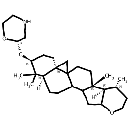 C[C@@H]1CCOC2CC3C4CC[C@H]5C(C)(C)[C@@H](O[C@H]6CNCCO6)CC[C@@]56CC46CC[C@]3(C)[C@H]21